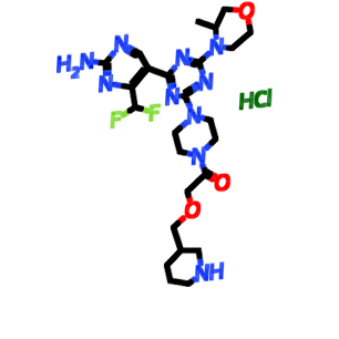 CC1COCCN1c1nc(-c2cnc(N)nc2C(F)F)nc(N2CCN(C(=O)COCC3CCCNC3)CC2)n1.Cl